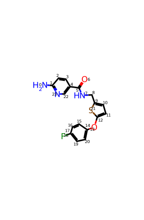 Nc1ccc(C(=O)NCc2ccc(Oc3ccc(F)cc3)s2)cn1